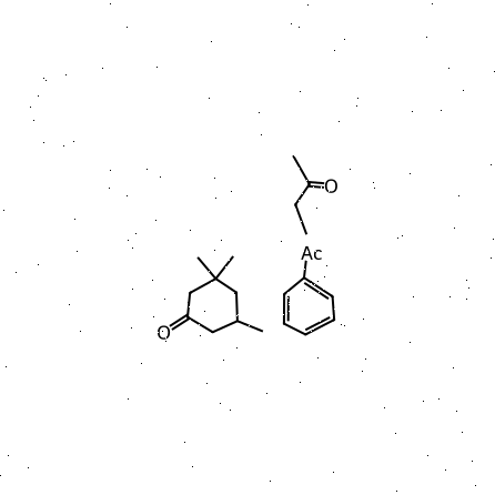 CC(=O)c1ccccc1.CC1CC(=O)CC(C)(C)C1.CCC(C)=O